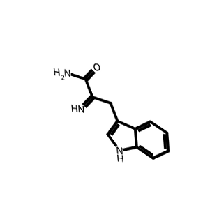 N=C(Cc1c[nH]c2ccccc12)C(N)=O